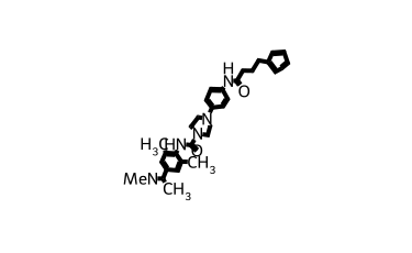 CNC(C)c1cc(C)c(NC(=O)N2CCN(c3ccc(NC(=O)CCCc4ccccc4)cc3)CC2)c(C)c1